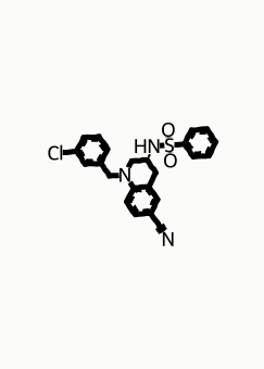 N#Cc1ccc2c(c1)C[C@@H](NS(=O)(=O)c1ccccc1)CN2Cc1cccc(Cl)c1